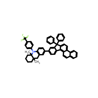 CC12CCCCC1(C)N(c1ccc(C(F)(F)F)cc1)c1ccc(-c3ccc4c(c3)C(c3ccccc3)(c3ccccc3)c3ccc5c(ccc6ccccc65)c3-4)cc1C2